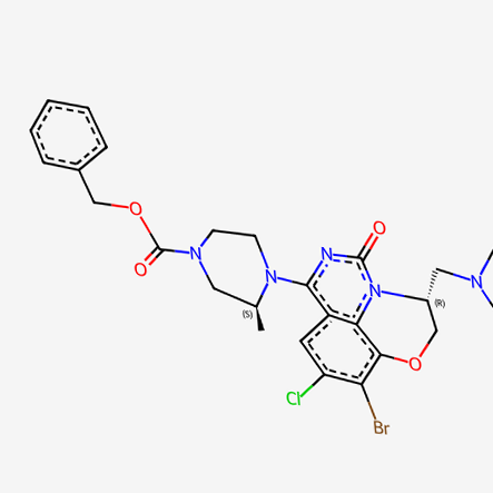 C[C@H]1CN(C(=O)OCc2ccccc2)CCN1c1nc(=O)n2c3c(c(Br)c(Cl)cc13)OC[C@H]2CN(C)C